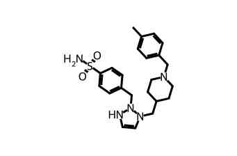 Cc1ccc(CN2CCC(CN3C=CNN3Cc3ccc(S(N)(=O)=O)cc3)CC2)cc1